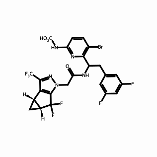 O=C(O)Nc1ccc(Br)c(C(Cc2cc(F)cc(F)c2)NC(=O)Cn2nc(C(F)(F)F)c3c2C(F)(F)[C@@H]2C[C@H]32)n1